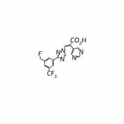 O=C(O)/C(=C/n1cnc(-c2cc(CF)cc(C(F)(F)F)c2)n1)c1cncnc1